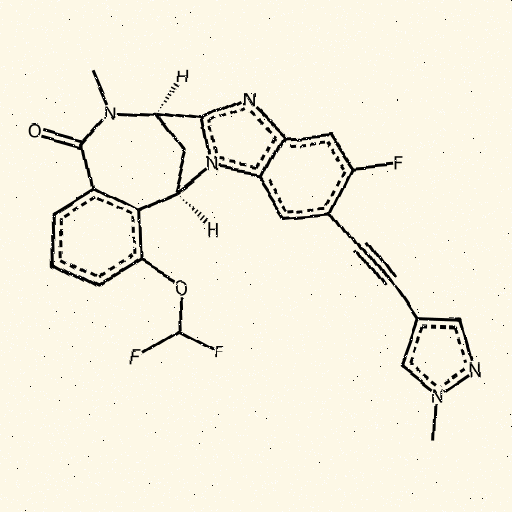 CN1C(=O)c2cccc(OC(F)F)c2[C@H]2C[C@@H]1c1nc3cc(F)c(C#Cc4cnn(C)c4)cc3n12